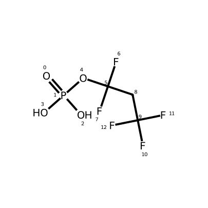 O=P(O)(O)OC(F)(F)CC(F)(F)F